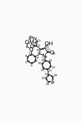 COCOc1ccccc1C1C(C(=O)CC(C)C)=C(O)C(=O)N1c1ccc(-c2ccsc2)cc1